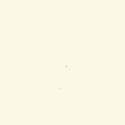 CCC1(C(O)CC2c3c(F)cccc3-c3cncn32)CC2CCC(NS(=O)(=O)CC3CCOCC3)C(C2)C1